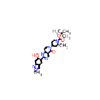 C[C@H]1C[C@@H](n2ccc3nc(-c4cc5cn(C)nc5cc4O)ncc3c2=O)CCN1C(=O)OC(C)(C)C